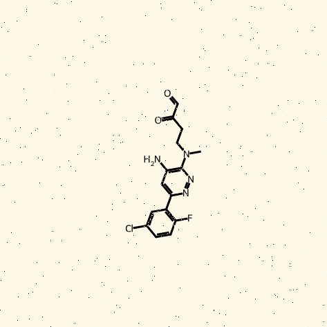 CN(CCC(=O)C=O)c1nnc(-c2cc(Cl)ccc2F)cc1N